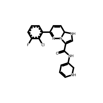 O=C(NC1=CC=CNC1)C1=CNC2C=CC(c3cccc(F)c3Cl)=NN12